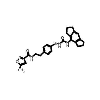 Cc1cc(C(=O)NCCc2ccc(SNC(=O)Nc3c4c(cc5c3CCC5)CCC4)cc2)no1